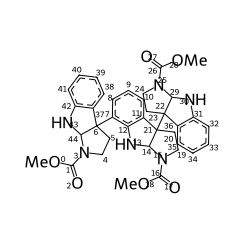 COC(=O)N1CCC2(c3cccc4c3NC3N(C(=O)OC)CCC43C34CCN(C(=O)OC)C3Nc3ccccc34)c3ccccc3NC12